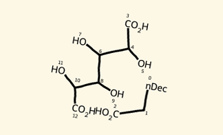 CCCCCCCCCCCC(=O)O.O=C(O)C(O)C(O)C(O)C(O)C(=O)O